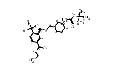 CCOC(=O)c1ccc(C(F)(F)F)c(NCCN2CCC[C@H](NC(=O)OC(C)(C)C)C2)c1